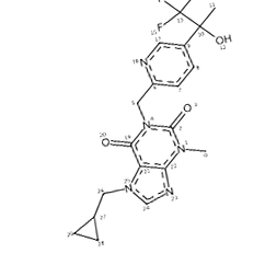 Cn1c(=O)n(Cc2ccc(C(C)(O)C(F)(F)F)cn2)c(=O)c2c1ncn2CC1CC1